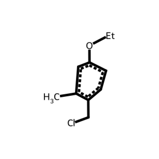 CCOc1ccc(CCl)c(C)c1